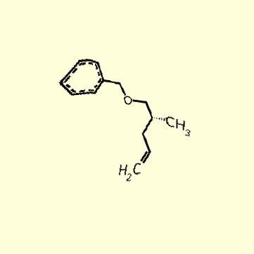 C=CC[C@@H](C)COCc1ccccc1